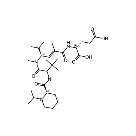 C/C(=C\[C@H](C(C)C)N(C)C(=O)C(NC(=O)[C@H]1CCCCN1C(C)C)C(C)(C)C)C(=O)N[C@H](CCC(=O)O)C(=O)O